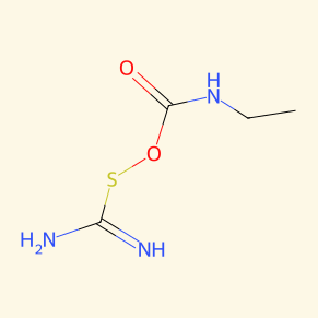 CCNC(=O)OSC(=N)N